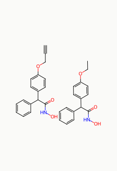 C#CCOc1ccc(C(C(=O)NO)c2ccccc2)cc1.CCOc1ccc(C(C(=O)NO)c2ccccc2)cc1